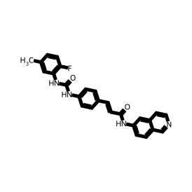 Cc1ccc(F)c(NC(=O)Nc2ccc(C=CC(=O)Nc3ccc4cnccc4c3)cc2)c1